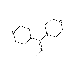 CN=C(N1CCOCC1)N1CCOCC1